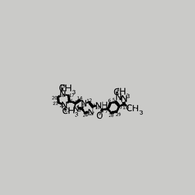 Cc1nn(C)c2cc(C(=O)Nc3cn4cc(C5CN(C)CCN5C)nc4cn3)ccc12